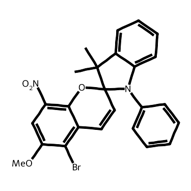 COc1cc([N+](=O)[O-])c2c(c1Br)C=CC1(O2)N(c2ccccc2)c2ccccc2C1(C)C